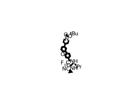 CC(C)C[C@H](N[C@@H](c1ccc2c(c1)oc1ccc(C3=CCN(C(=O)OC(C)(C)C)CC3)cc12)C(F)(F)F)C(=O)NC1(C#N)CC1